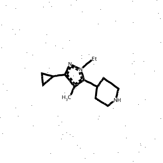 CCn1nc(C2CC2)c(C)c1C1CCNCC1